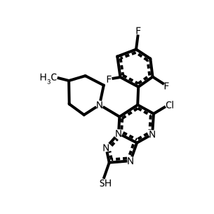 CC1CCN(c2c(-c3c(F)cc(F)cc3F)c(Cl)nc3nc(S)nn23)CC1